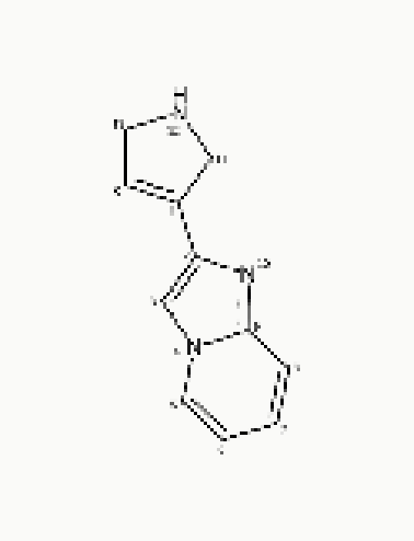 C1=C(c2cn3ccccc3n2)CNC1